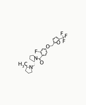 C[C@@H]1CCCN1C[C@@H]1CCCN1C(=O)c1ccc(OCc2ccc(C(F)(F)F)o2)cc1F